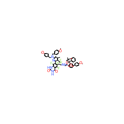 COc1ccc(COC[C@@H](CNCCc2c(-c3nc(N(Cc4ccc(OC)cc4)Cc4ccc(OC)cc4)cc(C)c3C(F)(F)F)c(F)c3[nH]c(=O)[nH]c(=O)c3c2F)O[Si](c2ccccc2)(c2ccccc2)C(C)(C)C)cc1